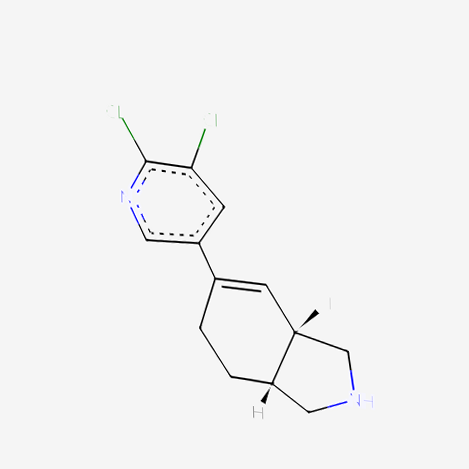 Clc1cc(C2=C[C@@H]3CNC[C@@H]3CC2)cnc1Cl